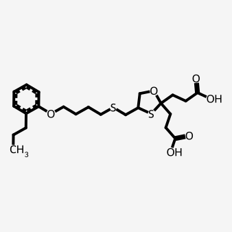 CCCc1ccccc1OCCCCSCC1COC(CCC(=O)O)(CCC(=O)O)S1